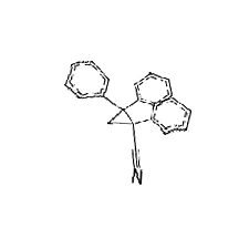 N#CC1(c2ccccc2)CC1(c1ccccc1)c1ccccc1